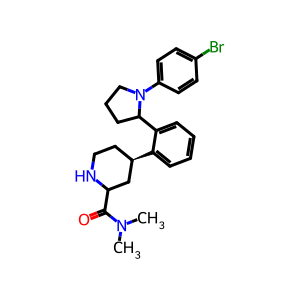 CN(C)C(=O)C1C[C@H](c2ccccc2C2CCCN2c2ccc(Br)cc2)CCN1